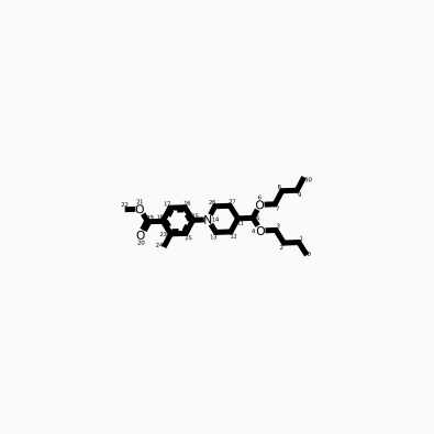 CCCCOC(OCCCC)C1CCN(c2ccc(C(=O)OC)c(C)c2)CC1